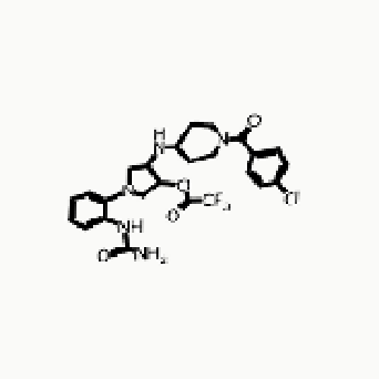 NC(=O)Nc1ccccc1N1CC(NC2CCN(C(=O)c3ccc(Cl)cc3)CC2)C(OC(=O)C(F)(F)F)C1